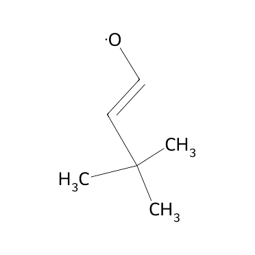 CC(C)(C)C=C[O]